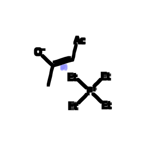 CC(=O)/C=C(/C)[O-].CC[P+](CC)(CC)CC